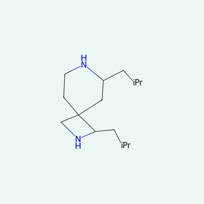 CC(C)CC1CC2(CCN1)CNC2CC(C)C